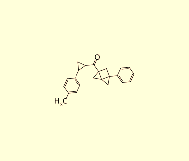 Cc1ccc(C2CC2C(=O)C23CC4(c5ccccc5)CC24C3)cc1